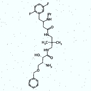 CC(C)NC(CC(=O)NCC(C)(C)CNC(=O)[C@@H](O)[C@H](N)COCc1ccccc1)Cc1cc(F)ccc1F